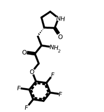 NC(C[C@@H]1CCNC1=O)C(=O)COc1c(F)c(F)cc(F)c1F